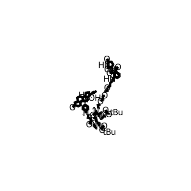 CC#C[C@]1(O)CC[C@H]2[C@@H]3CCC4=CC(=O)CCC4=C3[C@@H](c3ccc(N(C)CCCC(=O)N4CCN(C(=O)OC(C)(C)C)CC4C(=O)N4CCN(C(=O)OC(C)(C)C)CC4C(=O)N(C)CCCOCCOCCOCCCNc4cccc5c4C(=O)N(C4CCC(=O)NC4=O)C5=O)cc3)C[C@@]21C